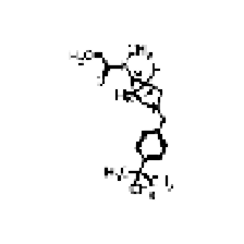 C=CC(=O)N(C)[C@H]1[C@@H]2CN(Cc3ccc(C(C)(C)C)cc3)C[C@@H]21